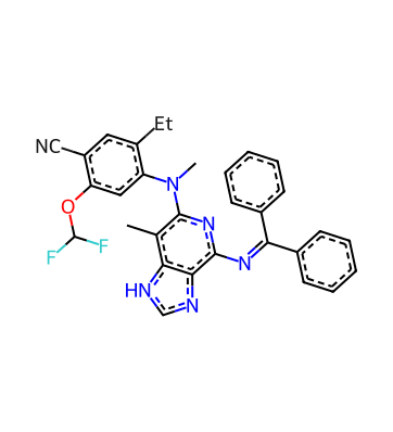 CCc1cc(C#N)c(OC(F)F)cc1N(C)c1nc(N=C(c2ccccc2)c2ccccc2)c2nc[nH]c2c1C